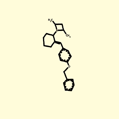 CC1CC(C)N1C1CCCCC1=Cc1ccc(OCc2ccccc2)cc1